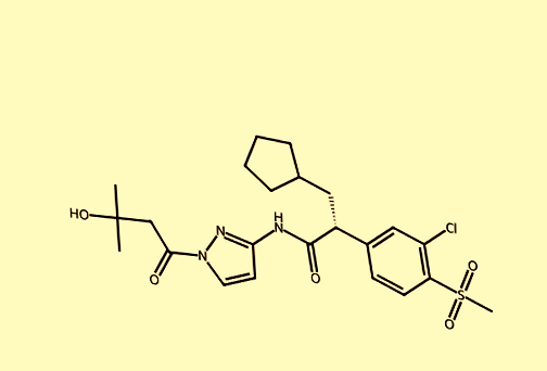 CC(C)(O)CC(=O)n1ccc(NC(=O)[C@H](CC2CCCC2)c2ccc(S(C)(=O)=O)c(Cl)c2)n1